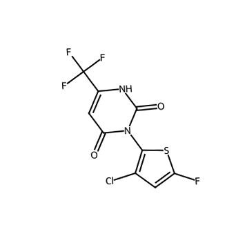 O=c1cc(C(F)(F)F)[nH]c(=O)n1-c1sc(F)cc1Cl